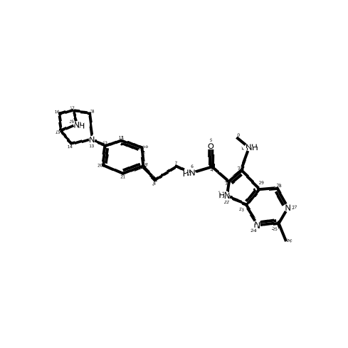 CNc1c(C(=O)NCCc2ccc(N3CC4CC(C3)N4)cc2)[nH]c2nc(C)ncc12